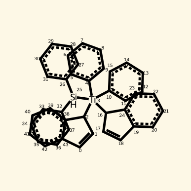 C1=C[CH]([Ti]([c]2ccccc2)([c]2ccccc2)([CH]2C=Cc3ccccc32)[SiH](c2ccccc2)c2ccccc2)c2ccccc21